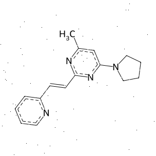 Cc1cc(N2CCCC2)nc(C=Cc2ccccn2)n1